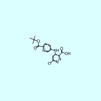 CC(C)(C)OC(=O)c1ccc(Nc2cc(Cl)nnc2C(=O)O)cn1